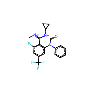 C/N=C(/NC1CC1)c1c(F)cc(C(F)(F)F)cc1N(C=O)c1ccccc1